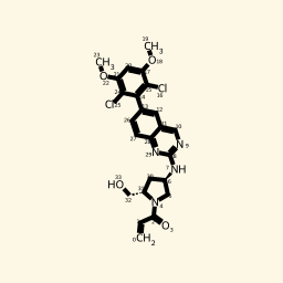 C=CC(=O)N1C[C@H](Nc2ncc3cc(-c4c(Cl)c(OC)cc(OC)c4Cl)ccc3n2)C[C@H]1CO